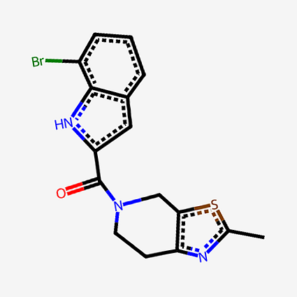 Cc1nc2c(s1)CN(C(=O)c1cc3cccc(Br)c3[nH]1)CC2